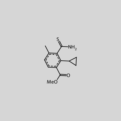 COC(=O)c1ccc(C)c(C(N)=S)c1C1CC1